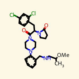 COC(C)CNCc1ccccc1N1CCN(C(=O)C(Cc2ccc(Cl)cc2Cl)N2CCCC2=O)CC1